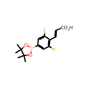 CC1(C)OB(c2cc(F)c(C=CC(=O)O)c(F)c2)OC1(C)C